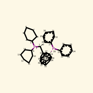 C[C@@H](P(C1CCCCC1)C1CCCCC1)[C]12[CH]3[CH]4[CH]5[C@@]1(P(c1ccccc1)c1ccccc1)[Fe]43521678[CH]2[CH]1[CH]6[CH]7[CH]28